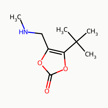 CNCc1oc(=O)oc1C(C)(C)C